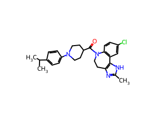 Cc1nc2c([nH]1)-c1cc(Cl)ccc1N(C(=O)C1CCN(c3ccc(C(C)C)cc3)CC1)CC2